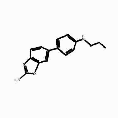 CCCNc1ccc(-c2ccc3nc(N)oc3c2)cc1